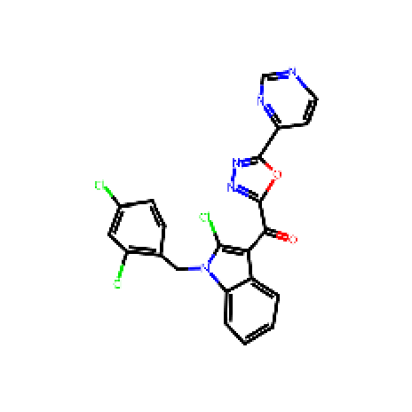 O=C(c1nnc(-c2ccncn2)o1)c1c(Cl)n(Cc2ccc(Cl)cc2Cl)c2ccccc12